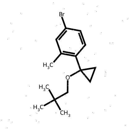 Cc1cc(Br)ccc1C1(OCC(C)(C)C)CC1